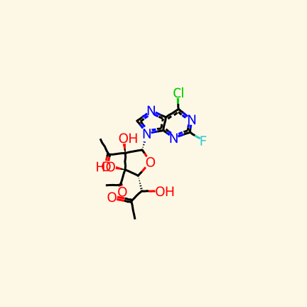 CC(=O)C(O)[C@H]1O[C@@H](n2cnc3c(Cl)nc(F)nc32)[C@@](O)(C(C)=O)[C@@]1(O)C(C)=O